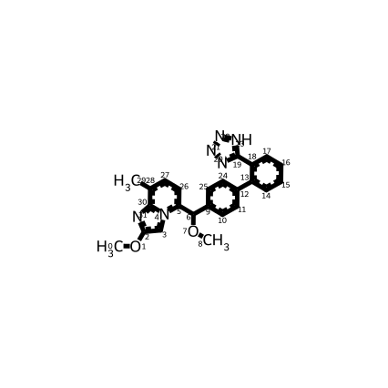 COc1cn2c(C(OC)c3ccc(-c4ccccc4-c4nnn[nH]4)cc3)ccc(C)c2n1